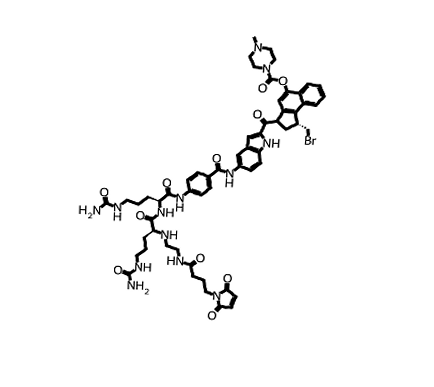 CN1CCN(C(=O)Oc2cc3c(c4ccccc24)[C@H](CBr)CC3C(=O)c2cc3cc(NC(=O)c4ccc(NC(=O)[C@H](CCCNC(N)=O)NC(=O)[C@H](CCCNC(N)=O)NCCNC(=O)CCCN5C(=O)C=CC5=O)cc4)ccc3[nH]2)CC1